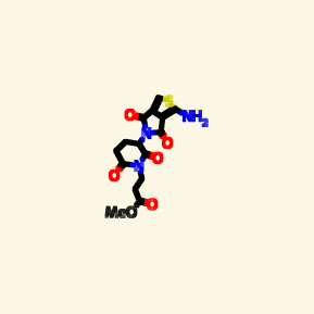 COC(=O)CCN1C(=O)CCC(N2C(=O)c3csc(N)c3C2=O)C1=O